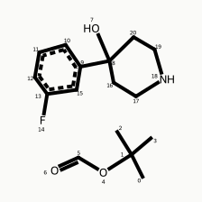 CC(C)(C)OC=O.OC1(c2cccc(F)c2)CCNCC1